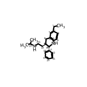 CCc1ccc2c(c1)C[C@H](CCNC(C)C)[C@@H](c1ccccc1)N2